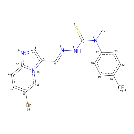 CN(C(=S)NN=Cc1cnc2ccc(Br)cn12)c1ccc(C(F)(F)F)cc1